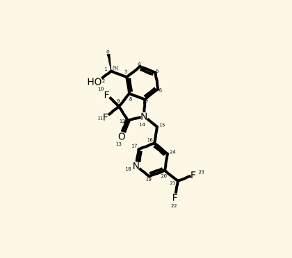 C[C@H](O)c1cccc2c1C(F)(F)C(=O)N2Cc1cncc(C(F)F)c1